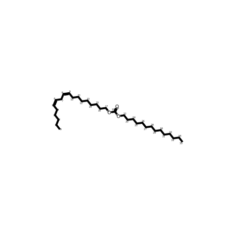 CCCCC/C=C\C/C=C\CCCCCCCCOC(=O)OCCCCCCCCCCCCCC